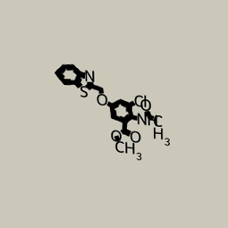 COC(=O)c1cc(OCc2nc3ccccc3s2)cc(Cl)c1NC(C)=O